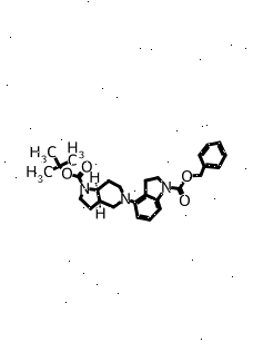 CC(C)(C)OC(=O)N1CC[C@@H]2CN(c3cccc4c3CCN4C(=O)OCc3ccccc3)CC[C@@H]21